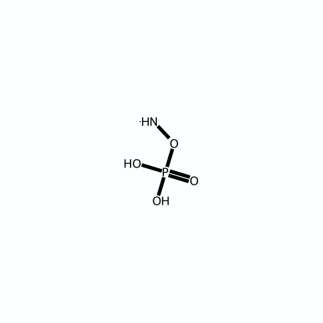 [NH]OP(=O)(O)O